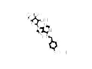 O=S(=O)(O)c1ccc(CNc2ncnc3c2ncn3C2O[C@H](CO)[C@@H](O)[C@H]2O)cc1